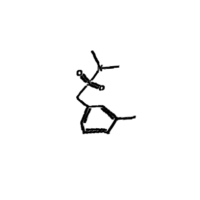 Cc1cccc(CS(=O)(=O)N(C)C)c1